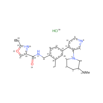 CNC1CCCN(c2cnccc2-c2ccc(CNC(=O)c3coc(C(C)(C)C)n3)c(C)c2)C1.Cl